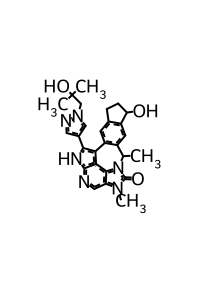 CC1c2cc3c(cc2-c2c(-c4cnn(CC(C)(C)O)c4)[nH]c4ncc5c(c24)n1c(=O)n5C)CCC3O